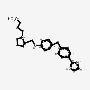 O=C(O)CCCN1CCCC1COc1ccc(Cc2ccc(-c3nccs3)cc2)cc1